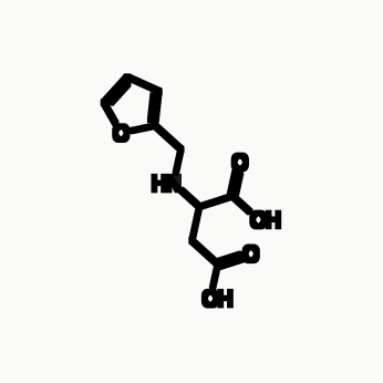 O=C(O)CC(NCc1ccco1)C(=O)O